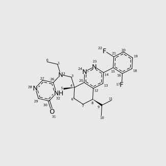 CCN(C[C@@]1(C)CC[C@H](C(C)C)c2cc(-c3c(F)cccc3F)nnc21)c1cncc(=O)[nH]1